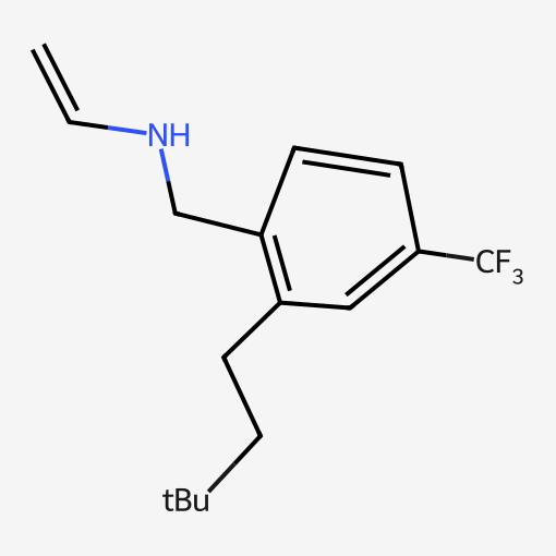 C=CNCc1ccc(C(F)(F)F)cc1CCC(C)(C)C